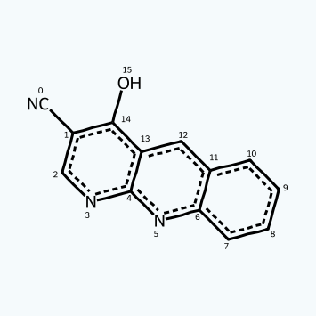 N#Cc1cnc2nc3ccccc3cc2c1O